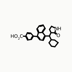 O=C(O)c1ccc(-c2ccc(C(C3CCCCC3)C3CCNC3=O)c3ccccc23)cc1